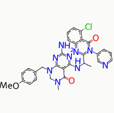 COc1ccc(CN2CN(C)C(=O)c3c(NC(C)c4nc5cccc(Cl)c5c(=O)n4-c4cccnc4)nc(N)nc32)cc1